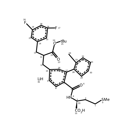 CSCC[C@H](NC(=O)c1ccc(CC(Cc2cc(F)cc(F)c2)C(=O)OC(C)(C)C)cc1-c1ccccc1C)C(=O)O.[LiH]